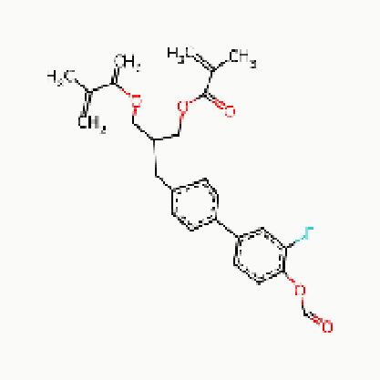 C=C(C)C(=C)OCC(COC(=O)C(=C)C)Cc1ccc(-c2ccc(OC=O)c(F)c2)cc1